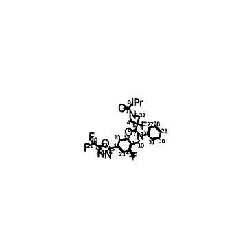 CC(C)C(=O)N1CC(F)(C(=O)N(Cc2ccc(-c3nnc(C(F)F)o3)cc2F)c2ccccc2)C1